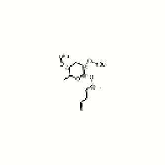 C=CCC[C@@H](C)O[C@@H]1OC(C)[C@H](OCCCC)C[C@@H]1OCCCC